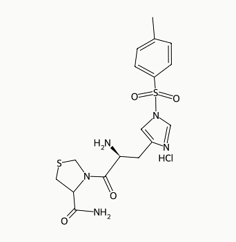 Cc1ccc(S(=O)(=O)n2cnc(C[C@H](N)C(=O)N3CSCC3C(N)=O)c2)cc1.Cl